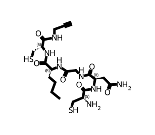 C#CCNC(=O)[C@@H](CS)NC(=O)[C@@H](CCCC)NC(=O)CNC(=O)[C@@H](CC(N)=O)NC(=O)[C@H](N)CS